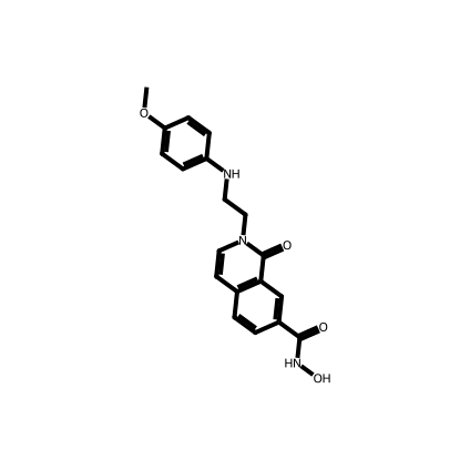 COc1ccc(NCCn2ccc3ccc(C(=O)NO)cc3c2=O)cc1